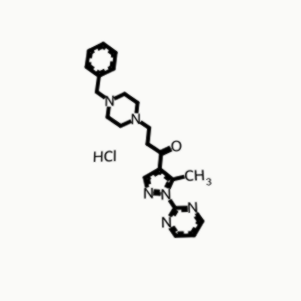 Cc1c(C(=O)CCN2CCN(Cc3ccccc3)CC2)cnn1-c1ncccn1.Cl